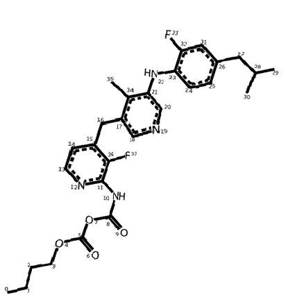 CCCCOC(=O)OC(=O)Nc1nccc(Cc2cncc(Nc3ccc(CC(C)C)cc3F)c2C)c1F